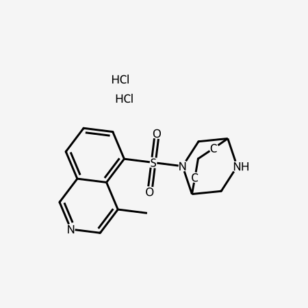 Cc1cncc2cccc(S(=O)(=O)N3CC4CCCC3CN4)c12.Cl.Cl